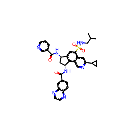 CC(C)CNS(=O)(=O)c1cc2c(c3cnc(C4CC4)cc13)[C@H](NC(=O)c1ccc3nccnc3c1)C[C@H]2NC(=O)c1cccnc1